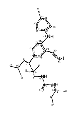 CC[C@@H](C)NC(=O)NCC(C)(C)C(CC(C)C)c1ccc(Nc2ccc(F)cc2)c(C=N)c1